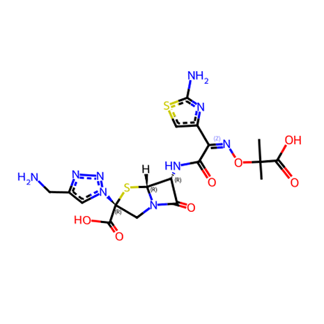 CC(C)(O/N=C(\C(=O)N[C@@H]1C(=O)N2C[C@@](C(=O)O)(n3cc(CN)nn3)S[C@H]12)c1csc(N)n1)C(=O)O